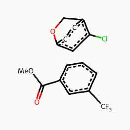 COC(=O)c1cccc(C(F)(F)F)c1.Clc1cc2ccc1CO2